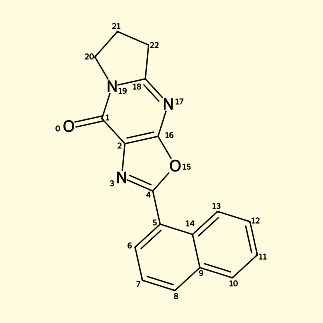 O=c1c2nc(-c3cccc4ccccc34)oc2nc2n1CCC2